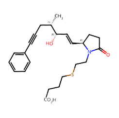 C[C@@H](CC#Cc1ccccc1)[C@@H](O)C=C[C@H]1CCC(=O)N1CCSCCCC(=O)O